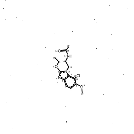 CCOc1nc2ccc(OC)c(Cl)c2n1CCNC(C)=O